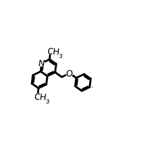 Cc1ccc2nc(C)cc(COc3cc[c]cc3)c2c1